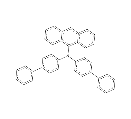 c1ccc(-c2ccc(N(c3ccc(-c4ccccc4)cc3)c3c4ccccc4cc4ccccc34)cc2)cc1